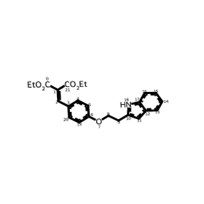 CCOC(=O)C(=Cc1ccc(OCCc2cc3ccccc3[nH]2)cc1)C(=O)OCC